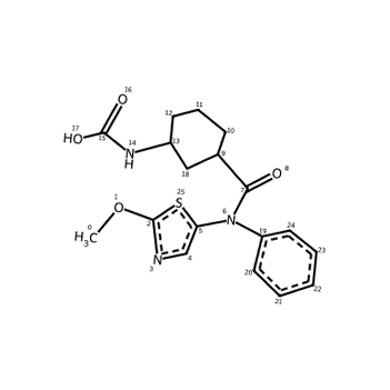 COc1ncc(N(C(=O)C2CCCC(NC(=O)O)C2)c2ccccc2)s1